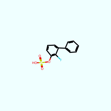 O=S(=O)(O)Oc1cccc(-c2ccccc2)c1F